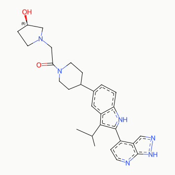 CC(C)c1c(-c2ccnc3[nH]ncc23)[nH]c2ccc(C3CCN(C(=O)CN4CC[C@@H](O)C4)CC3)cc12